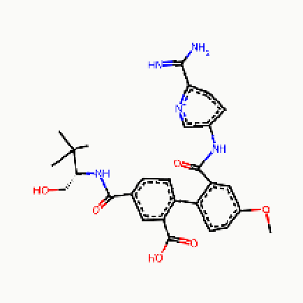 COc1ccc(-c2ccc(C(=O)N[C@H](CO)C(C)(C)C)cc2C(=O)O)c(C(=O)Nc2ccc(C(=N)N)nc2)c1